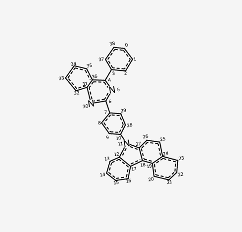 c1ccc(-c2nc(-c3ccc(-n4c5ccccc5c5c6ccccc6ccc54)cc3)nc3ccccc23)cc1